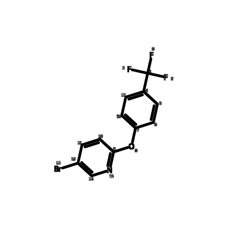 FC(F)(F)c1ccc(Oc2ccc(Br)cn2)cc1